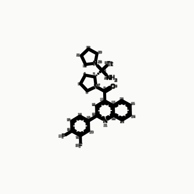 CCC(N)([C@H]1CCCN1C(=O)c1cc(-c2ccc(F)c(F)c2)nc2ccccc12)N1CCCC1